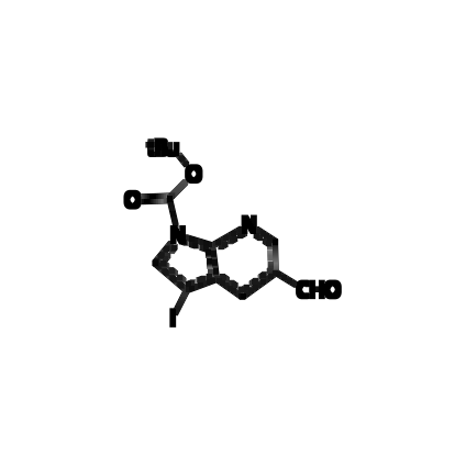 CC(C)(C)OC(=O)n1cc(I)c2cc(C=O)cnc21